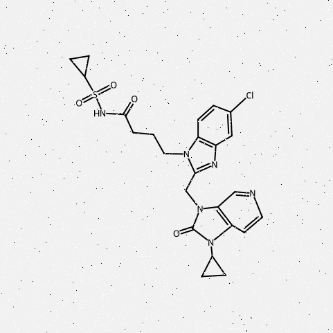 O=C(CCCn1c(Cn2c(=O)n(C3CC3)c3ccncc32)nc2cc(Cl)ccc21)NS(=O)(=O)C1CC1